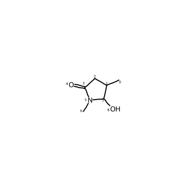 CC1CC(=O)N(C)C1O